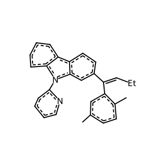 CC/C=C(/c1ccc2c3ccccc3n(-c3ccccn3)c2c1)c1cc(C)ccc1C